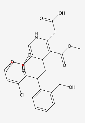 COC(=O)C1=CNC(CC(=O)O)=C(C(=O)OC)C1CC(c1ccccc1CO)c1c(Cl)cccc1Cl